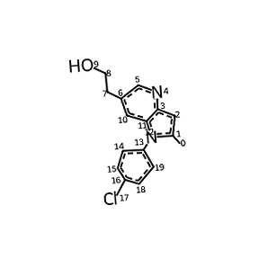 Cc1cc2ncc(CCO)cc2n1-c1ccc(Cl)cc1